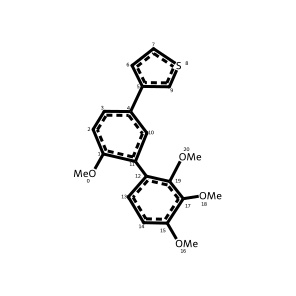 COc1ccc(-c2ccsc2)cc1-c1[c]cc(OC)c(OC)c1OC